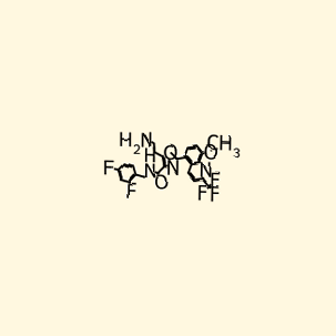 COc1ccc(-c2nc(C(=O)NCc3ccc(F)cc3F)c(CCN)o2)c2ccc(C(F)(F)F)nc12